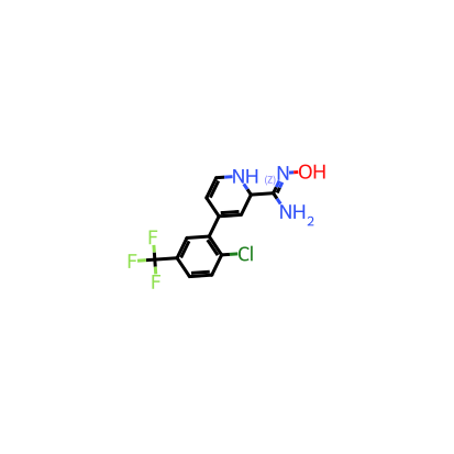 N/C(=N\O)C1C=C(c2cc(C(F)(F)F)ccc2Cl)C=CN1